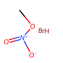 Br.CO[N+](=O)[O-]